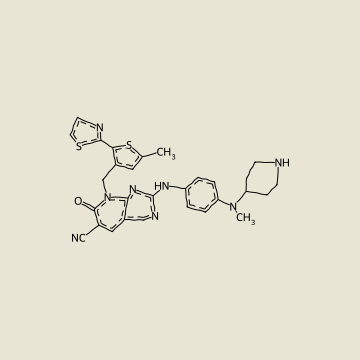 Cc1cc(Cn2c(=O)c(C#N)cc3cnc(Nc4ccc(N(C)C5CCNCC5)cc4)nc32)c(-c2nccs2)s1